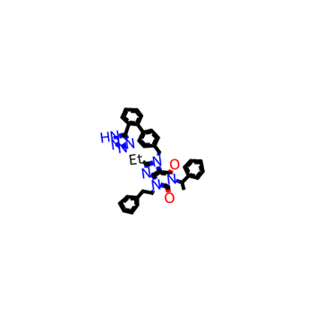 CCc1nc2c(c(=O)n(C(C)c3ccccc3)c(=O)n2CCc2ccccc2)n1Cc1ccc(-c2ccccc2-c2nnn[nH]2)cc1